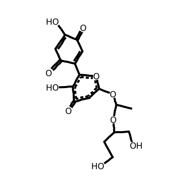 CC(Oc1cc(=O)c(O)c(C2=CC(=O)C(O)=CC2=O)o1)OC(CO)CCO